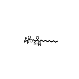 CCCCCCCCCNC(=O)C(N)COC(=O)C(F)(F)F